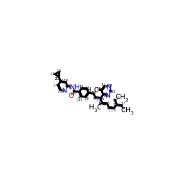 C=CC(/C=C\C=C(C)\C(=C\Cc1ccc(C(=O)Nc2cc(C3CC3)ccn2)c(F)c1)c1ncncc1C)=C/C